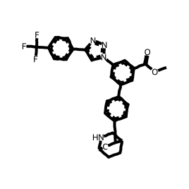 COC(=O)c1cc(-c2ccc(C3CC4CCC3CN4)cc2)cc(-n2cc(-c3ccc(C(F)(F)F)cc3)nn2)c1